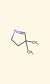 CC1(C)C=NCC1